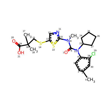 Cc1ccc(N(C(=O)N(C)c2ncc(SCC(C)(C)C(=O)O)s2)C2CCCC2)c(Cl)c1